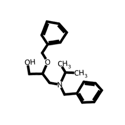 CC(C)N(Cc1ccccc1)CC(CO)OCc1ccccc1